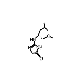 COC[C@@H](CC(C)C)NC1=NCC(=O)N1